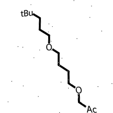 CC(=O)COCCCCOCCCC(C)(C)C